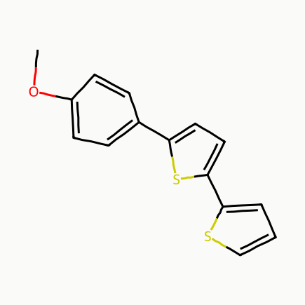 COc1ccc(-c2ccc(-c3cccs3)s2)cc1